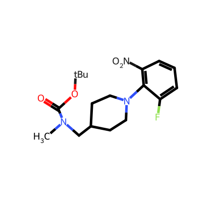 CN(CC1CCN(c2c(F)cccc2[N+](=O)[O-])CC1)C(=O)OC(C)(C)C